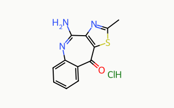 Cc1nc2c(N)nc3ccccc3c(=O)c2s1.Cl